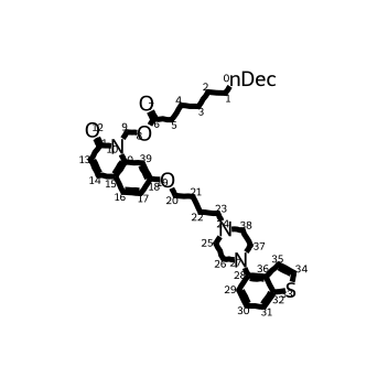 CCCCCCCCCCCCCCCC(=O)OCn1c(=O)ccc2ccc(OCCCCN3CCN(c4cccc5sccc45)CC3)cc21